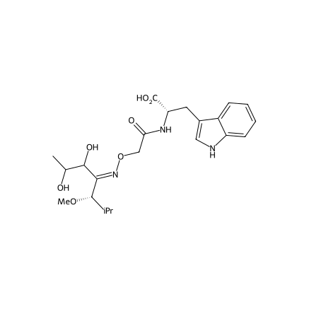 CO[C@H](/C(=N/OCC(=O)N[C@@H](Cc1c[nH]c2ccccc12)C(=O)O)C(O)C(C)O)C(C)C